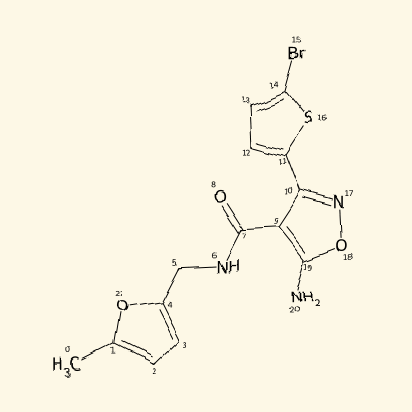 Cc1ccc(CNC(=O)c2c(-c3ccc(Br)s3)noc2N)o1